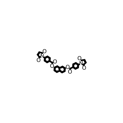 O=C(Oc1ccc2ccc(OC(=O)c3ccc(N4C(=O)C=CC4=O)cc3)cc2c1)c1ccc(N2C(=O)C=CC2=O)cc1